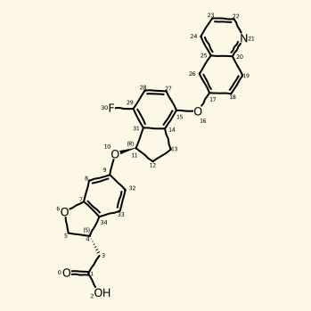 O=C(O)C[C@@H]1COc2cc(O[C@@H]3CCc4c(Oc5ccc6ncccc6c5)ccc(F)c43)ccc21